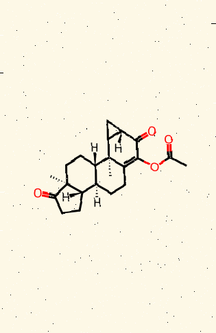 CC(=O)OC1=C2CC[C@H]3[C@@H]4CCC(=O)[C@@]4(C)CC[C@@H]3[C@@]2(C)C2C[C@@H]2C1=O